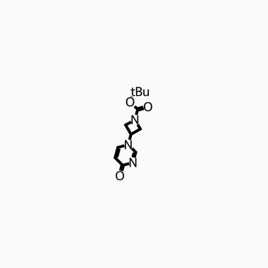 CC(C)(C)OC(=O)N1CC(n2ccc(=O)nc2)C1